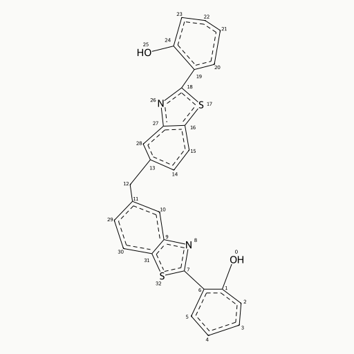 Oc1ccccc1-c1nc2cc(Cc3ccc4sc(-c5ccccc5O)nc4c3)ccc2s1